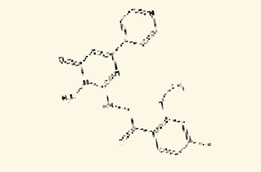 COc1cc(F)ccc1C(=O)CNc1nc(-c2ccncc2)cc(=O)n1C